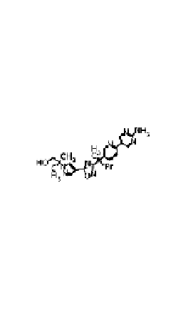 CC(C)[C@@](C)(c1ccc(-c2cnc(N)nc2)nc1)c1noc(-c2cnn(C(C)(C)CO)c2)n1